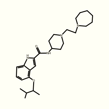 CC(C)C(C)Oc1cccc2[nH]c(C(=O)NC3CCN(CCN4CCCCCC4)CC3)cc12